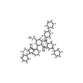 Cc1cc(-c2cccc3c4c([nH]c23)CCc2ccccc2-4)c2c(c1)N(c1ccc(-c3ccccc3)cc1)c1ccc(-c3ccccc3)cc1B2